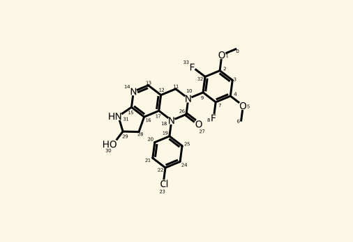 COc1cc(OC)c(F)c(N2Cc3cnc4c(c3N(c3ccc(Cl)cc3)C2=O)CC(O)N4)c1F